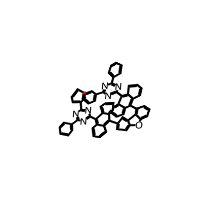 c1ccc(-c2nc(-c3ccccc3)nc(-c3c4ccccc4c(-c4ccc5oc6cccc(-c7c8ccccc8c(-c8nc(-c9ccccc9)nc(-c9ccccc9)n8)c8ccccc78)c6c5c4)c4ccccc34)n2)cc1